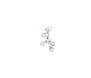 CCc1nc2ccccc2n1-c1ccc(-c2nc(-c3ccccc3)nc(-c3cccc4c3sc3ccccc34)n2)c2ccccc12